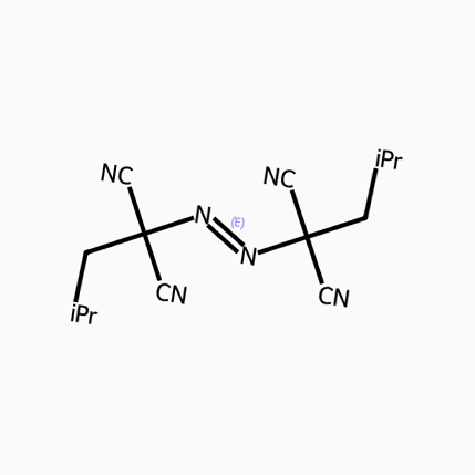 CC(C)CC(C#N)(C#N)/N=N/C(C#N)(C#N)CC(C)C